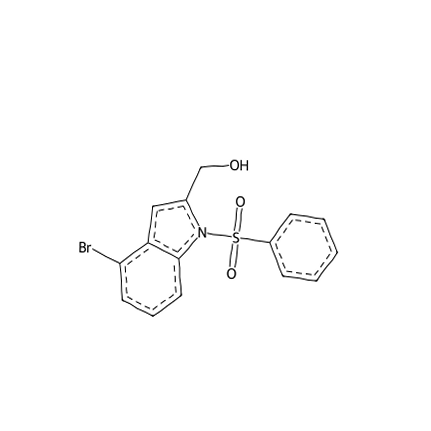 O=S(=O)(c1ccccc1)n1c(CO)cc2c(Br)cccc21